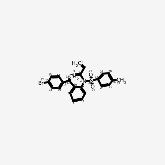 C=CC(=O)N(c1ccccc1C(=C)c1ccc(Br)cc1)S(=O)(=O)c1ccc(C)cc1